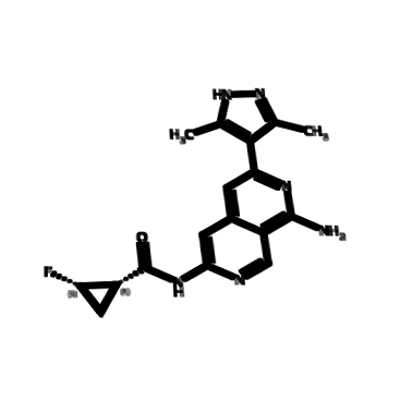 Cc1n[nH]c(C)c1-c1cc2cc(NC(=O)[C@@H]3C[C@@H]3F)ncc2c(N)n1